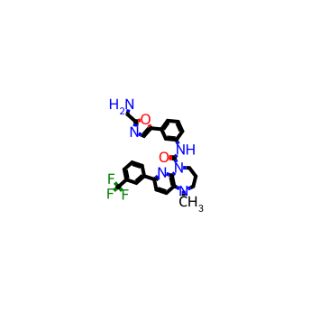 CN1CCCN(C(=O)Nc2cccc(-c3cnc(CN)o3)c2)c2nc(-c3cccc(C(F)(F)F)c3)ccc21